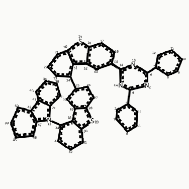 c1ccc(-c2nc(-c3ccccc3)nc(-c3ccc4sc5cccc(-c6ccc7sc8cccc(-n9c%10ccccc%10c%10ccccc%109)c8c7c6)c5c4c3)n2)cc1